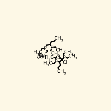 CCCC(CP(CC)CC)P(CC)CC.CCCC(P(CC)CC)C(Cl)(Cl)P(CC)CC.[Au].[Au]